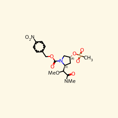 CNC(=O)C(OC)[C@@H]1C[C@@H](OS(C)(=O)=O)CN1C(=O)OCc1ccc([N+](=O)[O-])cc1